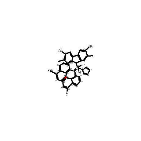 Cc1cc2c(cc1C(C)(C)C)-c1cc(C(C)(C)C)c(C)cc1[CH]2[Zr]([Cl])([Cl])(=[C](c1cccc2c(Cl)cccc12)c1cccc2c(Cl)cccc12)[CH]1C=CC=C1